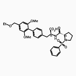 CCOCc1cc(OC)c(-c2ccc(C[C@H](NC(=O)[C@@H]3CCCN3S(=O)(=O)c3ccccc3)C(=O)O)cc2)c(OC)c1